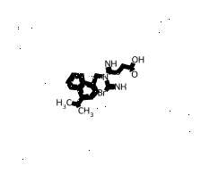 CC(C)c1ccc(CN(C(=N)Br)C(=N)CCC(=O)O)c2ccccc12